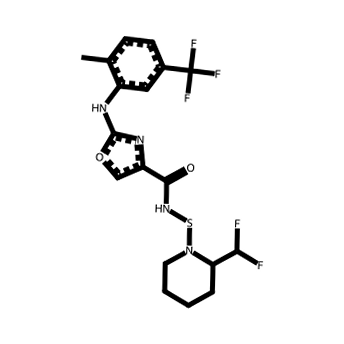 Cc1ccc(C(F)(F)F)cc1Nc1nc(C(=O)NSN2CCCCC2C(F)F)co1